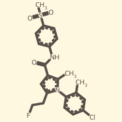 Cc1cc(Cl)ccc1-n1c(CCF)cc(C(=O)Nc2ccc(S(C)(=O)=O)cc2)c1C